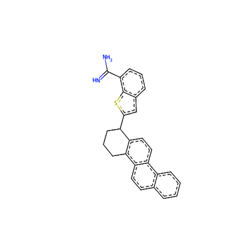 N=C(N)c1cccc2cc(C3CCCc4c3ccc3c4ccc4ccccc43)sc12